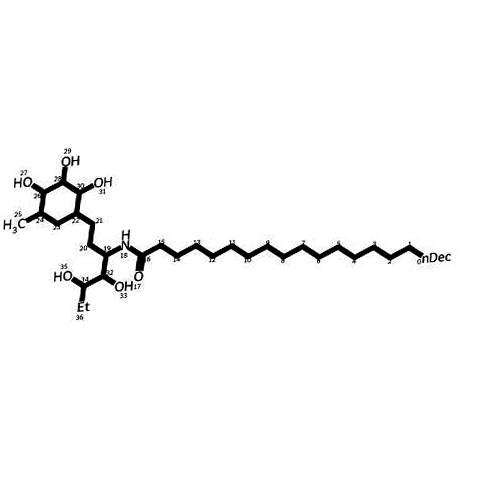 CCCCCCCCCCCCCCCCCCCCCCCCCC(=O)NC(CCC1CC(C)C(O)C(O)C1O)C(O)C(O)CC